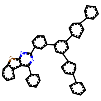 c1ccc(-c2ccc(-c3cc(-c4ccc(-c5ccccc5)cc4)cc(-c4cccc(-c5nc(-c6ccccc6)c6c(n5)sc5ccccc56)c4)c3)cc2)cc1